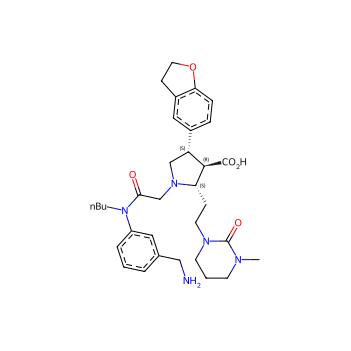 CCCCN(C(=O)CN1C[C@H](c2ccc3c(c2)CCO3)[C@@H](C(=O)O)[C@@H]1CCN1CCCN(C)C1=O)c1cccc(CN)c1